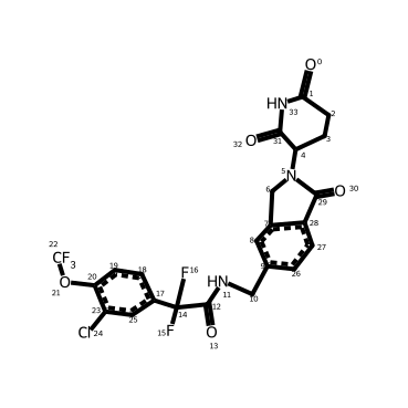 O=C1CCC(N2Cc3cc(CNC(=O)C(F)(F)c4ccc(OC(F)(F)F)c(Cl)c4)ccc3C2=O)C(=O)N1